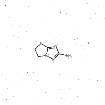 Nc1nc2n(n1)CCC2